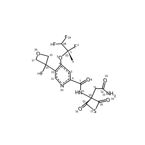 C[C@@](F)(Oc1cc(C(=O)NC2(CC(N)=O)C(=O)SC2=O)ncc1C1(F)COC1)C(F)F